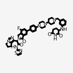 O=C1CCC(Nc2cccc(CN3CCC(N4CCN(c5ccc(-c6cc(F)c7c(c6)C(=O)N(C(C(=O)Nc6nccs6)c6ncn8c6CCC8)C7)cc5)CC4)CC3)c2)C(=O)N1